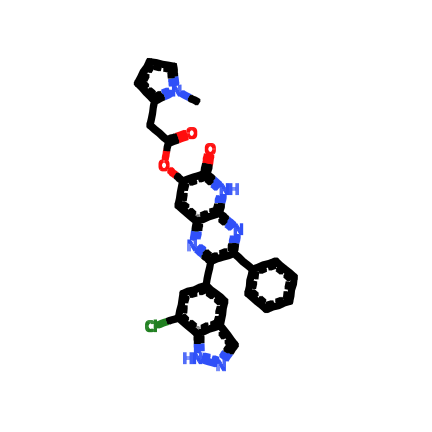 Cn1cccc1CC(=O)Oc1cc2nc(-c3cc(Cl)c4[nH]ncc4c3)c(-c3ccccc3)nc2[nH]c1=O